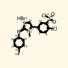 Br.Cn1c(-c2ccc(Cl)c(S(=O)(=O)Cl)c2)cs/c1=N/c1ccc(F)cc1